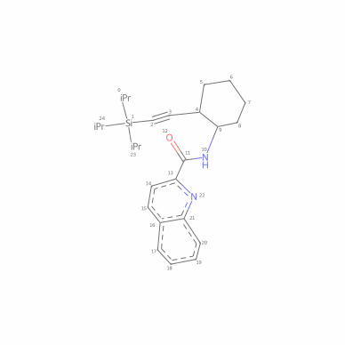 CC(C)[Si](C#CC1CCCCC1NC(=O)c1ccc2ccccc2n1)(C(C)C)C(C)C